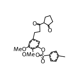 COc1cc(CCC(=O)C2CCCC2=O)cc(OS(=O)(=O)c2ccc(C)cc2)c1OC